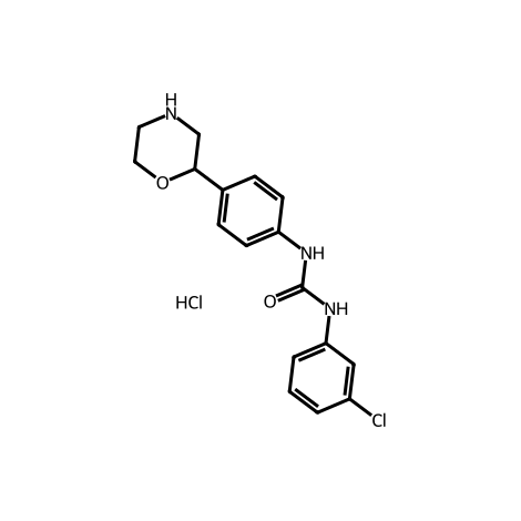 Cl.O=C(Nc1ccc(C2CNCCO2)cc1)Nc1cccc(Cl)c1